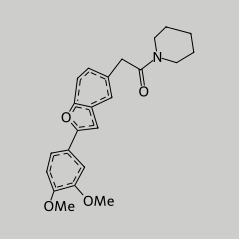 COc1ccc(-c2cc3cc(CC(=O)N4CCCCC4)ccc3o2)cc1OC